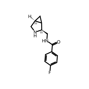 O=C(NC[C@H]1NC[C@H]2CC21)c1ccc(F)cc1